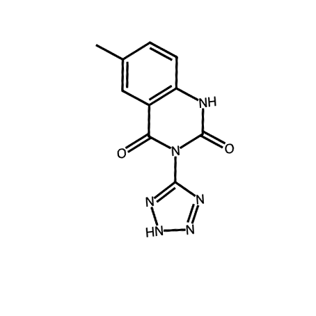 Cc1ccc2[nH]c(=O)n(-c3nn[nH]n3)c(=O)c2c1